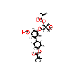 C=C(C)C(=O)OCC1(COc2cc(O)cc(-c3ccc(OC(=O)C(=C)C)cc3)c2)COC1